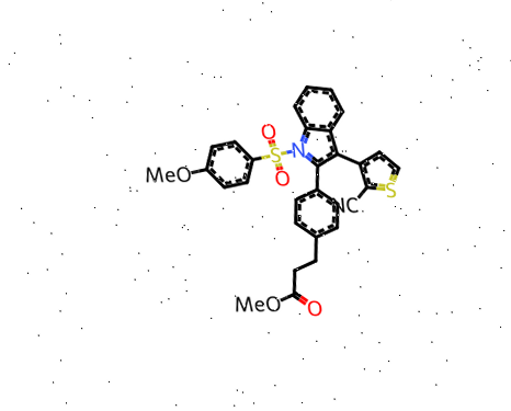 COC(=O)CCc1ccc(-c2c(-c3ccsc3C#N)c3ccccc3n2S(=O)(=O)c2ccc(OC)cc2)cc1